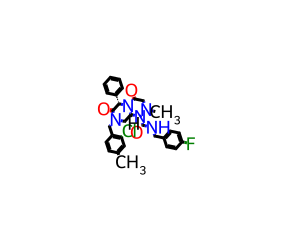 Cc1ccc(CN2C[C@H]3N(C(=O)CN(C)N3C(=O)NCc3ccc(F)cc3)[C@@H](c3ccccc3)C2=O)c(Cl)c1